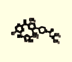 Cc1cc(C2CCN(C(=O)CN(C)C)CC2)c(C)cc1Nc1ncc(Cl)c(Nc2cc(C(F)(F)F)[nH]n2)n1